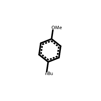 CC[CH]Cc1ccc(OC)cc1